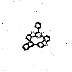 c1ccc(-c2nc(-c3cccc4oc5ccc(-c6ccc7ccccc7c6)cc5c34)nc3c2oc2ccccc23)cc1